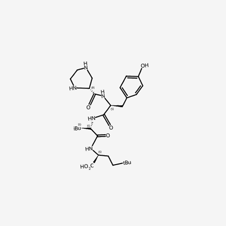 CC[C@H](C)[C@H](NC(=O)[C@H](Cc1ccc(O)cc1)NC(=O)[C@H]1CNCCN1)C(=O)N[C@@H](CCC(C)(C)C)C(=O)O